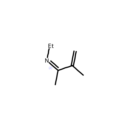 C=C(C)/C(C)=N\CC